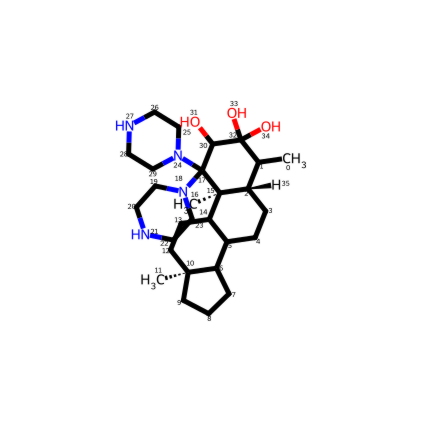 CC1[C@@H]2CCC3C4CCC[C@@]4(C)CCC3[C@@]2(C)C(N2CCNCC2)(N2CCNCC2)C(O)C1(O)O